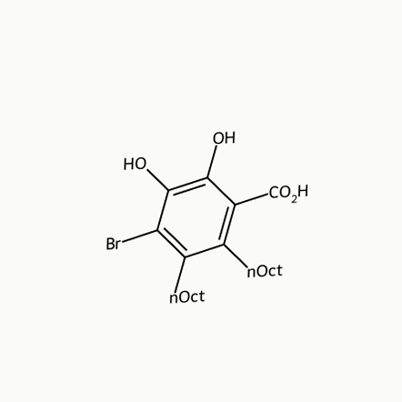 CCCCCCCCc1c(Br)c(O)c(O)c(C(=O)O)c1CCCCCCCC